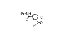 CC(C)NC(=O)c1ccc(Cl)c(C(=O)C(C)C)c1